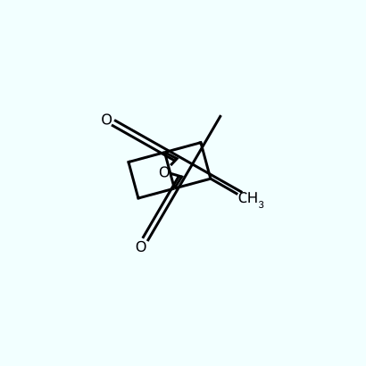 CC1CC23CCC12C(=O)OC3=O